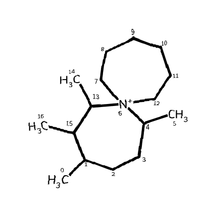 CC1CCC(C)[N+]2(CCCCCC2)C(C)C1C